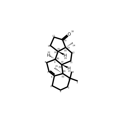 CC1(C)CCCC2=CC[C@@H]3[C@H](CC[C@]4(C)C(=O)CC[C@@H]34)[C@]21C